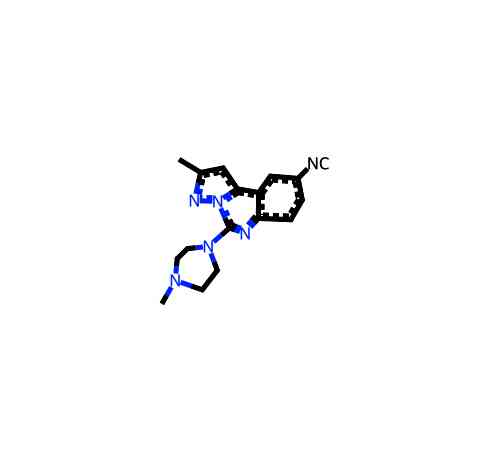 [C-]#[N+]c1ccc2nc(N3CCN(C)CC3)n3nc(C)cc3c2c1